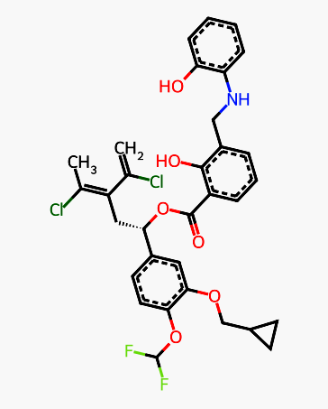 C=C(Cl)/C(C[C@H](OC(=O)c1cccc(CNc2ccccc2O)c1O)c1ccc(OC(F)F)c(OCC2CC2)c1)=C(\C)Cl